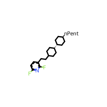 CCCCC[C@H]1CC[C@H](C2CCC(CCc3ccc(F)nc3F)CC2)CC1